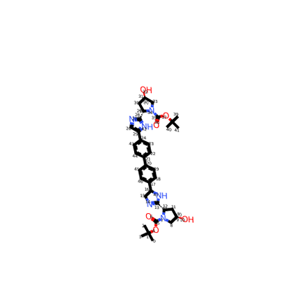 CC(C)(C)OC(=O)N1C[C@H](O)C[C@H]1C1=NCC(c2ccc(-c3ccc(-c4cnc([C@@H]5C[C@@H](O)CN5C(=O)OC(C)(C)C)[nH]4)cc3)cc2)N1